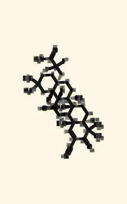 CC1(C)CC[C@@]2(CC(F)(F)C(N)=O)CC[C@]3(C)[C@H](C(=O)C=C4[C@@]5(C)C=C(C#N)C(=O)C(C)(C)[C@@H]5CC[C@]43C)[C@@H]2C1